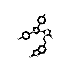 O=C1C=c2cc(CCN3C(=O)CO[C@@H]3c3cn(-c4ccc(Br)cc4)cc3-c3ccc(F)cc3)ccc2=N1